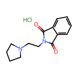 Cl.O=C1c2ccccc2C(=O)N1CCN1CCCC1